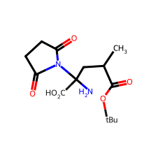 CC(CC(N)(C(=O)O)N1C(=O)CCC1=O)C(=O)OC(C)(C)C